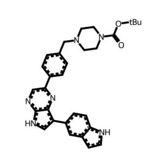 CC(C)(C)OC(=O)N1CCN(Cc2ccc(-c3cnc4[nH]cc(-c5ccc6[nH]ccc6c5)c4n3)cc2)CC1